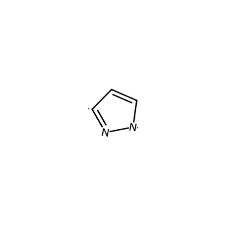 [C]1=N[N]C=C1